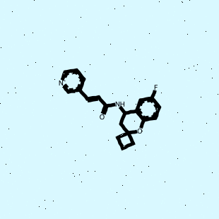 O=C(C=Cc1cccnc1)NC1CC2(CCC2)Oc2ccc(F)cc21